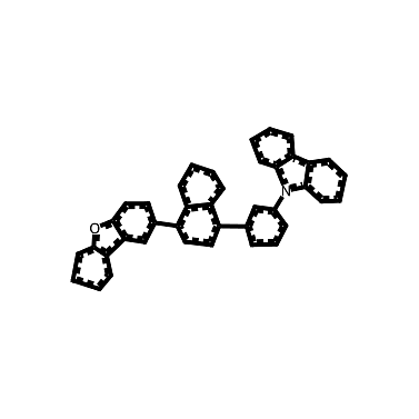 c1cc(-c2ccc(-c3ccc4oc5ccccc5c4c3)c3ccccc23)cc(-n2c3ccccc3c3ccccc32)c1